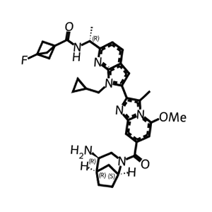 COc1cc(C(=O)N2C[C@H](N)[C@@H]3CC[C@H]2C3)cc2nc(-c3cc4ccc([C@@H](C)NC(=O)C56CC(F)(C5)C6)nc4n3CC3CC3)c(C)n12